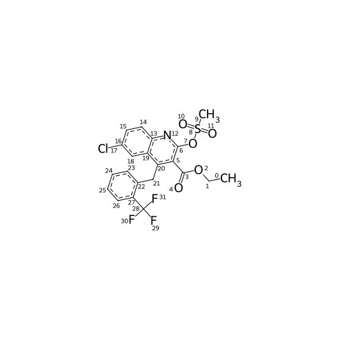 CCOC(=O)c1c(OS(C)(=O)=O)nc2ccc(Cl)cc2c1Cc1ccccc1C(F)(F)F